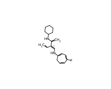 C=C/C(=C\NC1=CC=C(F)C=CC1)C(=C)NC1CCCCC1